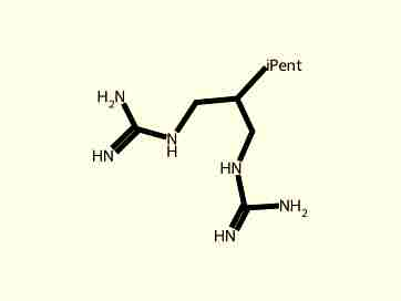 CCCC(C)C(CNC(=N)N)CNC(=N)N